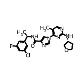 Cc1cnc(N[C@H]2CCOC2)nc1-n1cnc(C(=O)N[C@H](C)c2cc(F)cc(Cl)c2)c1